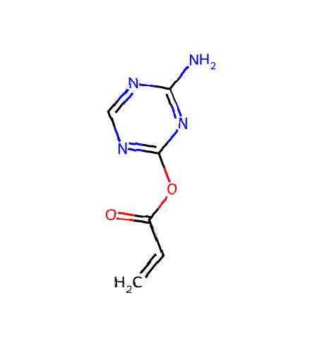 C=CC(=O)Oc1ncnc(N)n1